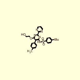 Cc1ccc(-c2c(NS(=O)(=O)c3ccc(C(C)(C)C)cc3)nc(-c3ncccn3)nc2OCCO)cc1